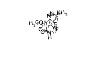 COC(=O)C1(Cc2ccc(N)nn2)CC(F)(F)CNC1=O